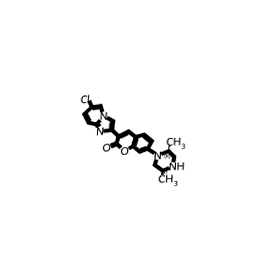 C[C@@H]1CN[C@@H](C)CN1c1ccc2cc(-c3cn4cc(Cl)ccc4n3)c(=O)oc2c1